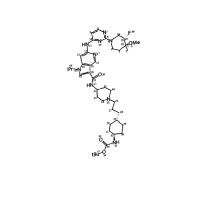 CO[C@@]1(C)CCN(c2nccc(Nc3cc4c(cn3)c(C(=O)NC3CCN(CCC[C@H]5CC[C@H](NC(=O)OC(C)(C)C)CC5)CC3)cn4C(C)C)n2)C[C@@H]1F